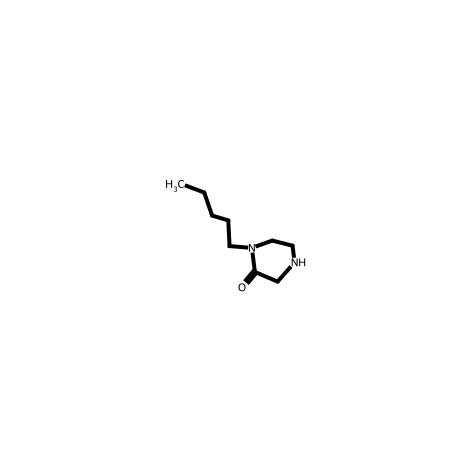 CCCCCN1CCNCC1=O